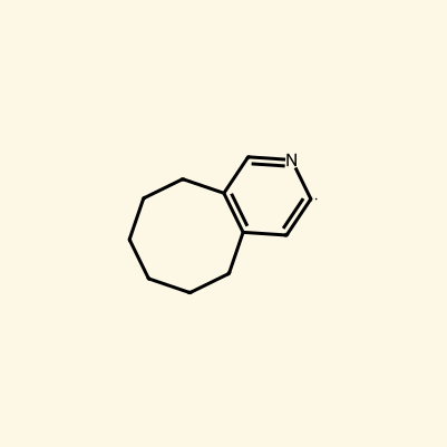 [c]1cc2c(cn1)CCCCCC2